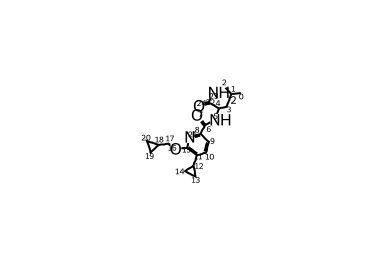 CC(C)CC(NC(=O)c1ccc(C2CC2)c(OCC2CC2)n1)C(N)=O